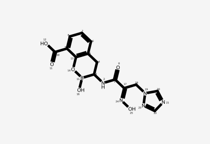 O=C(NC1Cc2cccc(C(=O)O)c2OB1O)C(Cn1cncn1)=NO